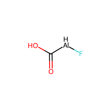 O=[C](O)[AlH][F]